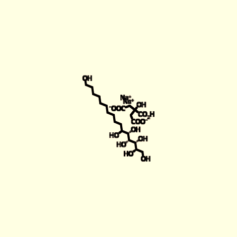 O=C([O-])CC(O)(CC(=O)[O-])C(=O)O.OCCCCCCCCCCC(O)[C@H](O)[C@@H](O)[C@H](O)[C@H](O)CO.[Na+].[Na+]